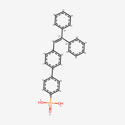 O=P(O)(O)c1ccc(-c2ccc(C=C(c3ccccc3)c3ccccc3)cc2)cc1